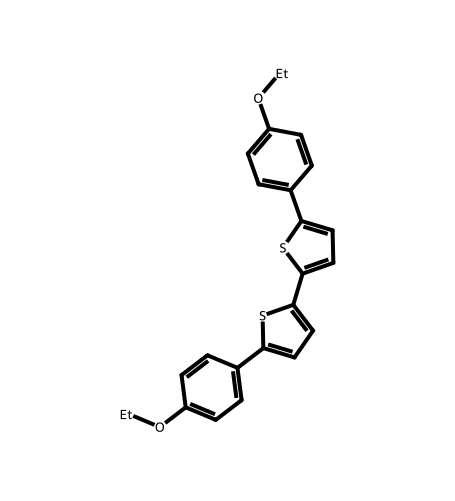 CCOc1ccc(-c2ccc(-c3ccc(-c4ccc(OCC)cc4)s3)s2)cc1